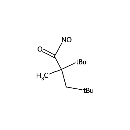 CC(C)(C)CC(C)(C(=O)N=O)C(C)(C)C